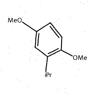 [CH2]C(C)c1cc(OC)ccc1OC